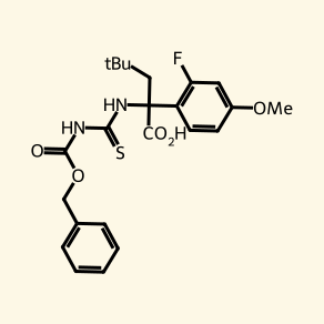 COc1ccc(C(CC(C)(C)C)(NC(=S)NC(=O)OCc2ccccc2)C(=O)O)c(F)c1